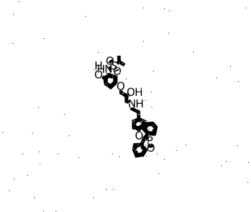 CC(C)S(=O)(=O)Nc1cc(OC[C@@H](O)CNCCc2ccc(OC(P=O)(c3ccccc3)c3ccccc3)cc2)ccc1O